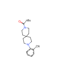 CCCCC(=O)N1CCC2(CC1)CCN(c1ccccc1C#N)CC2